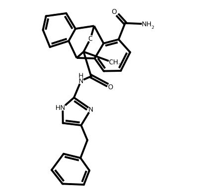 CC1(C(=O)Nc2nc(Cc3ccccc3)c[nH]2)CC2c3ccccc3C1c1cccc(C(N)=O)c12